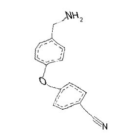 N#Cc1ccc(Oc2ccc(CN)cc2)cc1